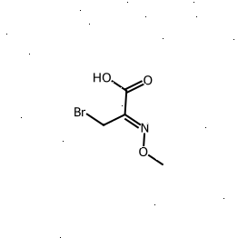 CON=C(CBr)C(=O)O